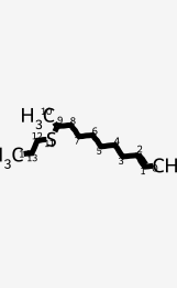 CC=CCCCCCCC(C)SCCC